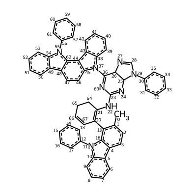 Cc1ccc2c3ccccc3n(-c3ccccc3)c2c1C1=C(NC2=NC3C(N=CN3c3ccccc3)C(n3c4ccccc4c4c3ccc3c5ccccc5n(-c5ccccc5)c34)=N2)CCC=C1